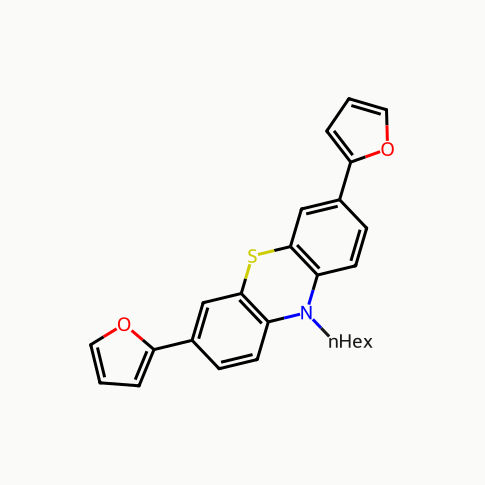 CCCCCCN1c2ccc(-c3ccco3)cc2Sc2cc(-c3ccco3)ccc21